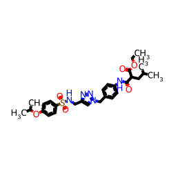 CCOC(=O)C(CC(C)C)C(=O)Nc1ccc(Cn2cc(CNS(=O)(=O)c3ccc(OC(C)C)cc3)nn2)cc1